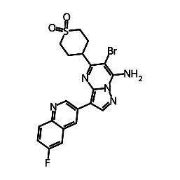 Nc1c(Br)c(C2CCS(=O)(=O)CC2)nc2c(-c3cnc4ccc(F)cc4c3)cnn12